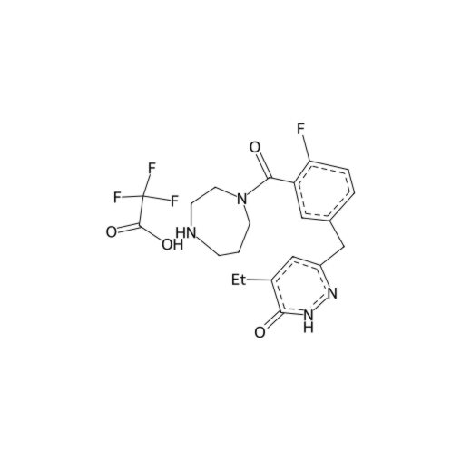 CCc1cc(Cc2ccc(F)c(C(=O)N3CCCNCC3)c2)n[nH]c1=O.O=C(O)C(F)(F)F